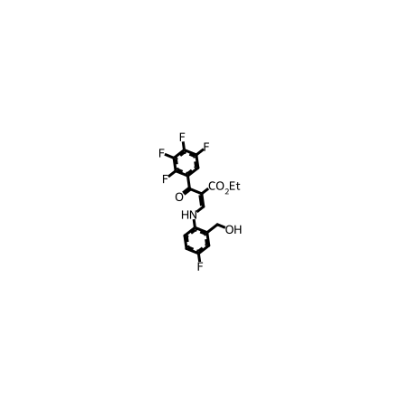 CCOC(=O)C(=CNc1ccc(F)cc1CO)C(=O)c1cc(F)c(F)c(F)c1F